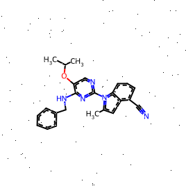 Cc1cc2c(C#N)cccc2n1-c1ncc(OC(C)C)c(NCc2ccccc2)n1